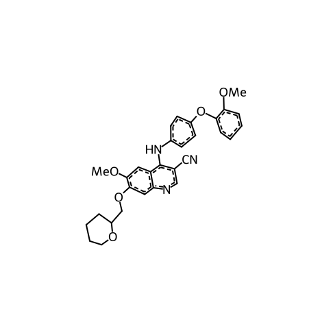 COc1cc2c(Nc3ccc(Oc4ccccc4OC)cc3)c(C#N)cnc2cc1OCC1CCCCO1